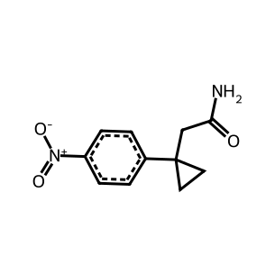 NC(=O)CC1(c2ccc([N+](=O)[O-])cc2)CC1